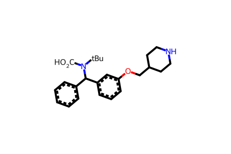 CC(C)(C)N(C(=O)O)C(c1ccccc1)c1cccc(OCC2CCNCC2)c1